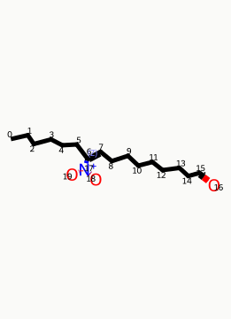 CCCCCC/C(=C/CCCCCCC[C]=O)[N+](=O)[O-]